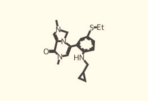 CCSc1ccc(NCC2CC2)c(C2=CN(C)C(=O)C3=CN(C)CN32)c1